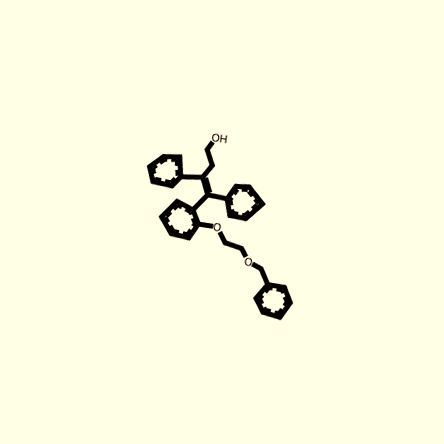 OCC/C(=C(\c1ccccc1)c1ccccc1OCCOCc1ccccc1)c1ccccc1